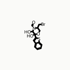 O=CN1C(CBr)COC(O)(c2cc3ccccc3s2)C1O